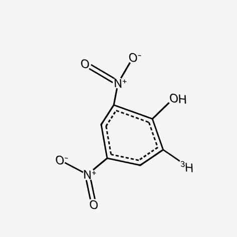 [3H]c1cc([N+](=O)[O-])cc([N+](=O)[O-])c1O